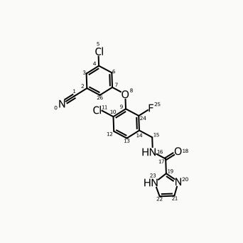 N#Cc1cc(Cl)cc(Oc2c(Cl)ccc(CNC(=O)c3ncc[nH]3)c2F)c1